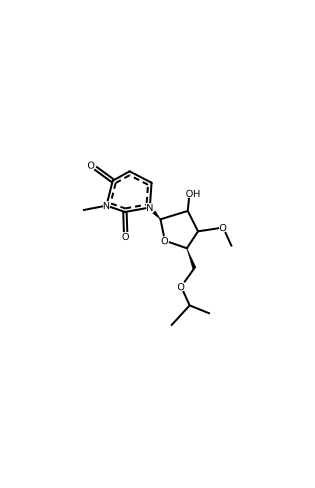 COC1C(O)[C@H](n2ccc(=O)n(C)c2=O)O[C@@H]1COC(C)C